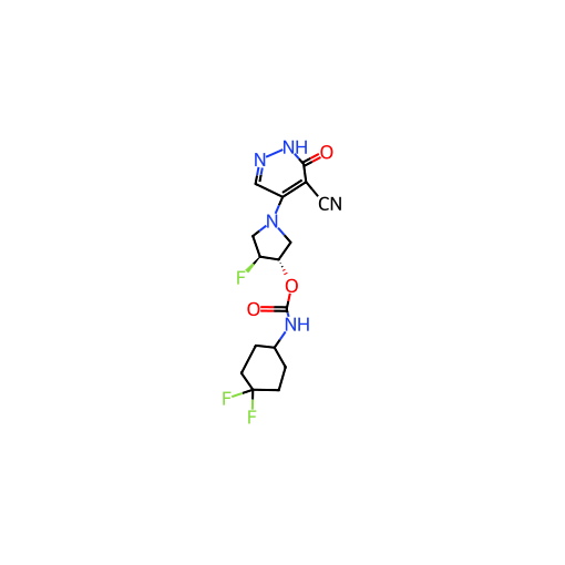 N#Cc1c(N2C[C@H](OC(=O)NC3CCC(F)(F)CC3)[C@@H](F)C2)cn[nH]c1=O